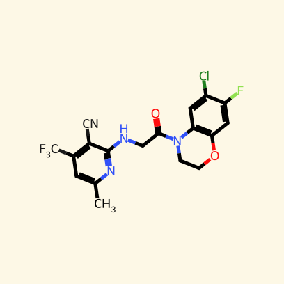 Cc1cc(C(F)(F)F)c(C#N)c(NCC(=O)N2CCOc3cc(F)c(Cl)cc32)n1